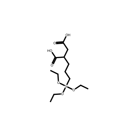 CCO[Si](CCCC(CC(=O)O)C(=O)O)(OCC)OCC